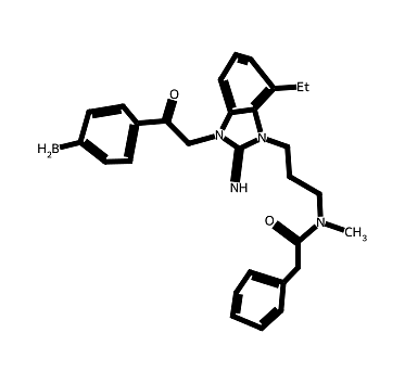 Bc1ccc(C(=O)Cn2c(=N)n(CCCN(C)C(=O)Cc3ccccc3)c3c(CC)cccc32)cc1